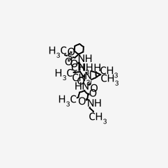 CCCNC(=O)C(=O)C(CCC)NC(=O)[C@@H]1C2[C@H](CN1C(=O)[C@@H](NC(=O)NC1(CS(=O)(=O)CC)CCCCC1)C(C)(C)C)C2(C)C